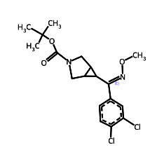 CO/N=C(/c1ccc(Cl)c(Cl)c1)C1C2CN(C(=O)OC(C)(C)C)CC21